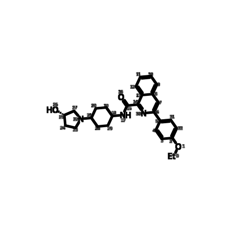 CCOc1ccc(-c2cc3ccccc3c(C(=O)NC3CCC(N4CC[C@H](O)C4)CC3)n2)cc1